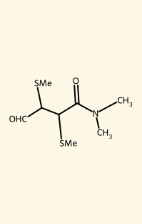 CSC(C=O)C(SC)C(=O)N(C)C